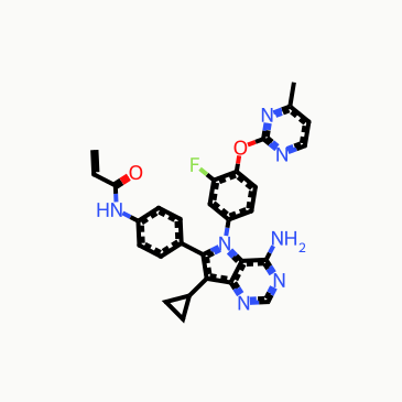 C=CC(=O)Nc1ccc(-c2c(C3CC3)c3ncnc(N)c3n2-c2ccc(Oc3nccc(C)n3)c(F)c2)cc1